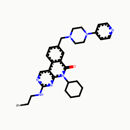 CC(C)CCNc1ncc2c3ccc(CN4CCN(c5ccncc5)CC4)cc3c(=O)n(C3CCCCC3)c2n1